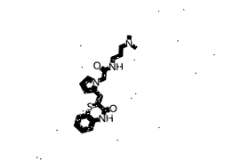 CN(C)CCCNC(=O)Cn1cccc1C=C1Sc2ccccc2NC1=O